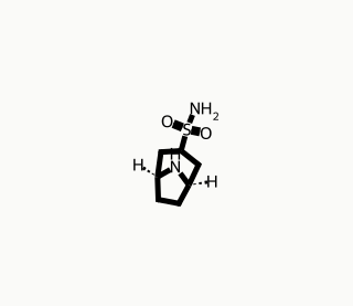 NS(=O)(=O)C1C[C@H]2CC[C@@H](C1)N2